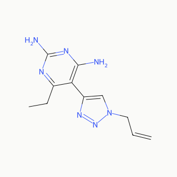 C=CCn1cc(-c2c(N)nc(N)nc2CC)nn1